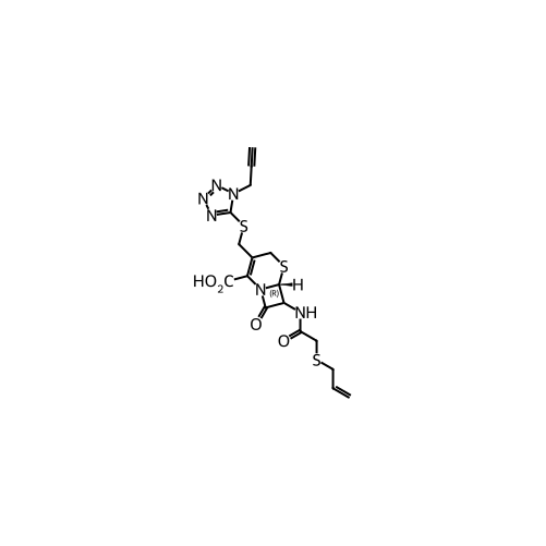 C#CCn1nnnc1SCC1=C(C(=O)O)N2C(=O)C(NC(=O)CSCC=C)[C@H]2SC1